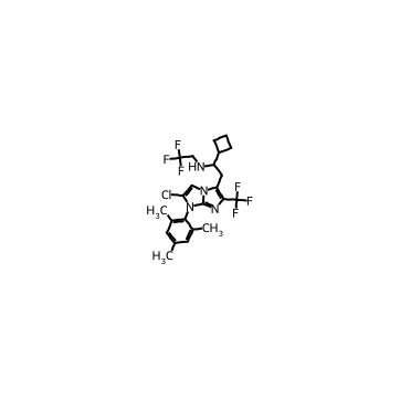 Cc1cc(C)c(-n2c(Cl)cn3c(CC(NCC(F)(F)F)C4CCC4)c(C(F)(F)F)nc23)c(C)c1